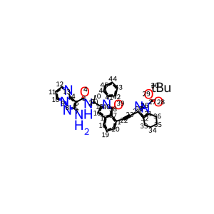 C[C@H](NC(=O)c1c(N)nn2cccnc12)c1cc2cccc(C#Cc3nn(C(=O)OC(C)(C)C)c4c3CCCC4)c2c(=O)n1-c1ccccc1